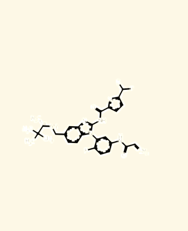 C=CC(=O)Nc1ccc(F)c(-n2c(NC(=O)c3ccc(C(F)F)s3)nc3cc(CN[C@@H](C)C(C)(C)C)ccc32)c1